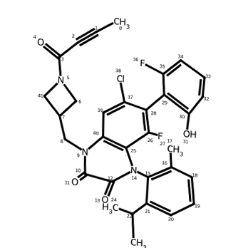 CC#CC(=O)N1CC(Cn2c(=O)c(=O)n(-c3c(C)cccc3C(C)C)c3c(F)c(-c4c(O)cccc4F)c(Cl)cc32)C1